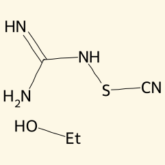 CCO.N#CSNC(=N)N